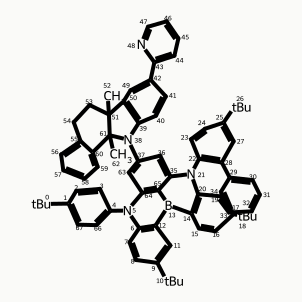 CC(C)(C)c1ccc(N2c3ccc(C(C)(C)C)cc3B3c4ccc(C(C)(C)C)cc4N(c4ccc(C(C)(C)C)cc4-c4ccccc4)c4cc(N5c6ccc(-c7ccccn7)cc6C6(C)CCc7ccccc7C56C)cc2c43)cc1